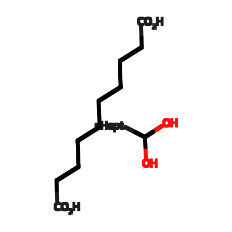 CCCCCCCC(O)O.O=C(O)CCCCCCCCC(=O)O